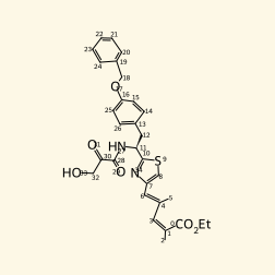 CCOC(=O)/C(C)=C\C(C)=C\c1csc([C@H](Cc2ccc(OCc3ccccc3)cc2)NC(=O)C(=O)CO)n1